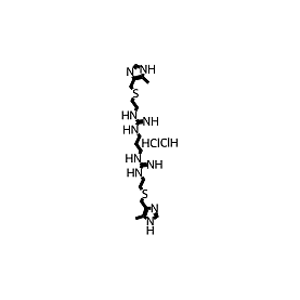 Cc1[nH]cnc1CSCCNC(=N)NCCCNC(=N)NCCSCc1nc[nH]c1C.Cl.Cl